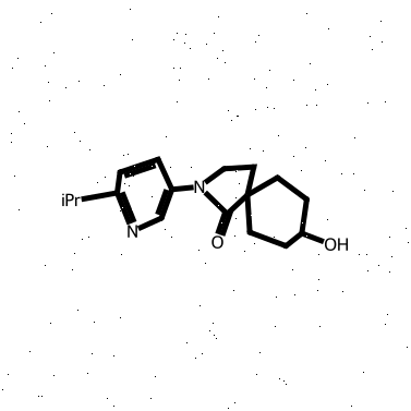 CC(C)c1ccc(N2CCC3(CCC(O)CC3)C2=O)cn1